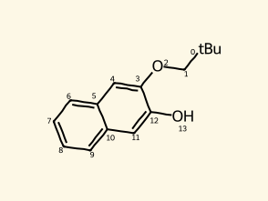 CC(C)(C)COc1cc2ccccc2cc1O